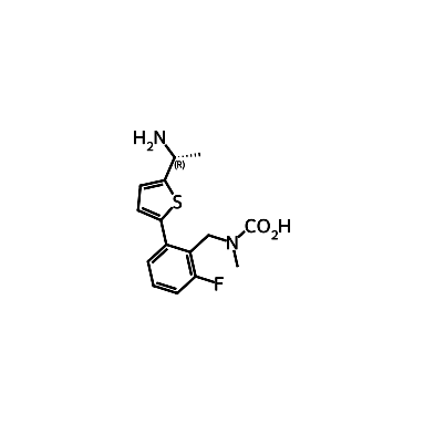 C[C@@H](N)c1ccc(-c2cccc(F)c2CN(C)C(=O)O)s1